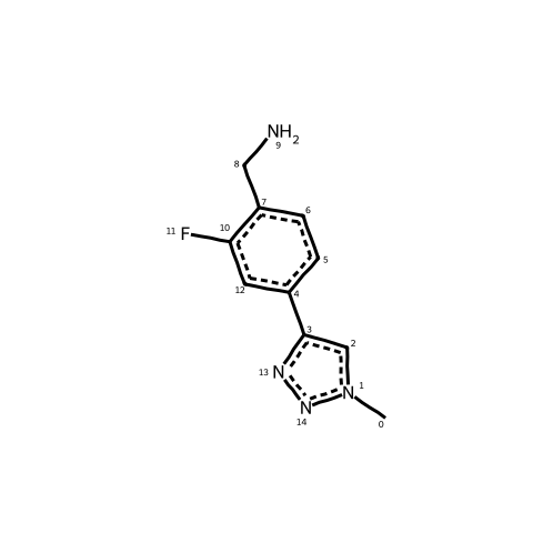 Cn1cc(-c2ccc(CN)c(F)c2)nn1